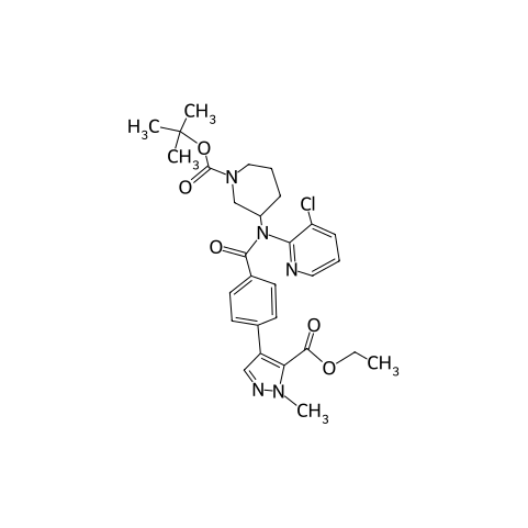 CCOC(=O)c1c(-c2ccc(C(=O)N(c3ncccc3Cl)C3CCCN(C(=O)OC(C)(C)C)C3)cc2)cnn1C